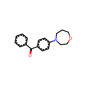 O=C(c1ccccc1)c1ccc(N2CCCOCC2)cc1